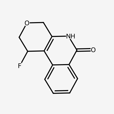 O=c1[nH]c2c(c3ccccc13)C(F)COC2